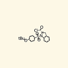 CC(C)(C)Oc1ccc(S(=O)(=O)N2c3ccccc3C[C@H]2C(=O)Cl)cc1